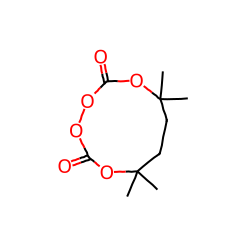 CC1(C)CCC(C)(C)OC(=O)OOC(=O)O1